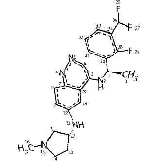 C[C@@H](Nc1cnnc2ccc(N[C@@H]3CCN(C)C3)cc12)c1cccc(C(F)F)c1F